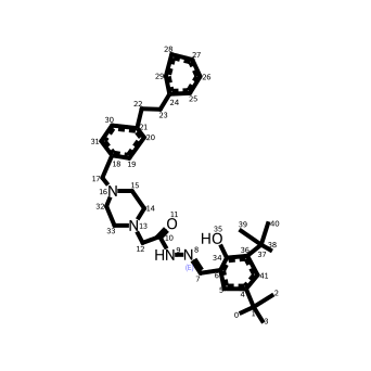 CC(C)(C)c1cc(/C=N/NC(=O)CN2CCN(Cc3ccc(CCc4ccccc4)cc3)CC2)c(O)c(C(C)(C)C)c1